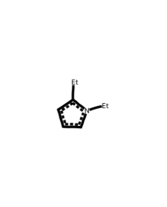 CCc1cccn1CC